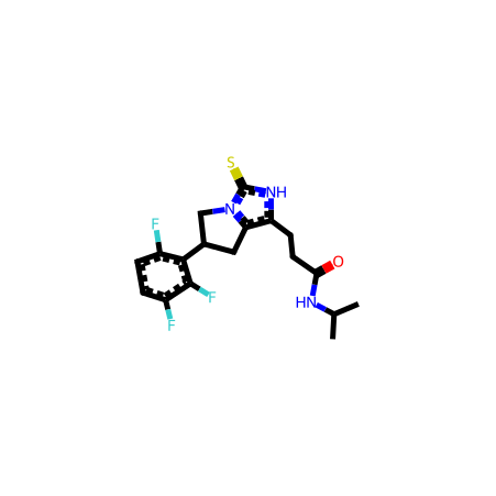 CC(C)NC(=O)CCc1[nH]c(=S)n2c1CC(c1c(F)ccc(F)c1F)C2